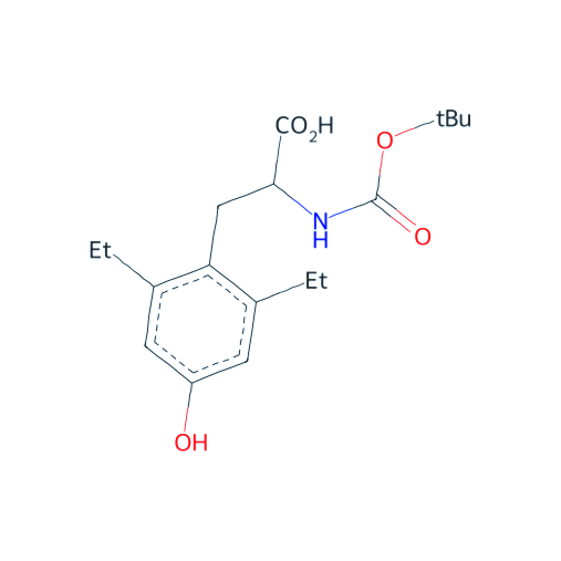 CCc1cc(O)cc(CC)c1CC(NC(=O)OC(C)(C)C)C(=O)O